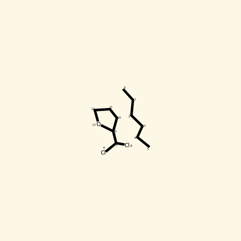 CCCCCC.ClC(Cl)C1CCCO1